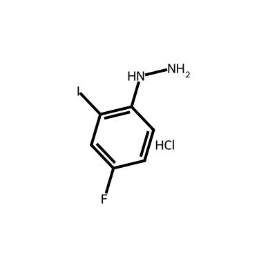 Cl.NNc1ccc(F)cc1I